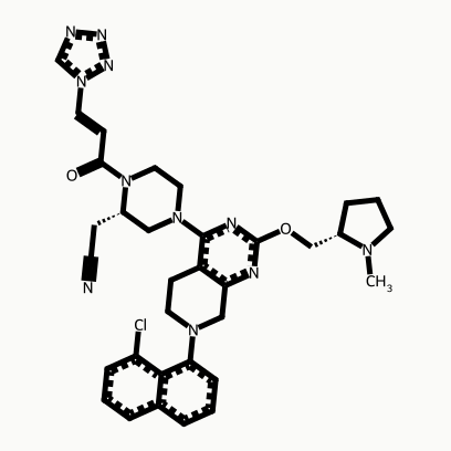 CN1CCC[C@H]1COc1nc2c(c(N3CCN(C(=O)/C=C/n4cnnn4)[C@@H](CC#N)C3)n1)CCN(c1cccc3cccc(Cl)c13)C2